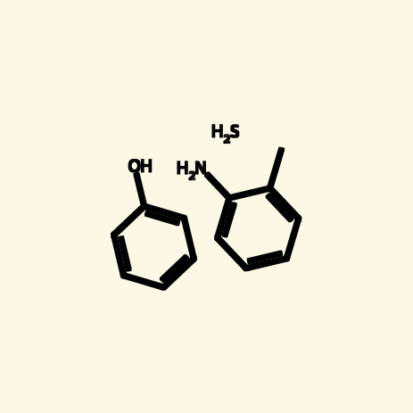 Cc1ccccc1N.Oc1ccccc1.S